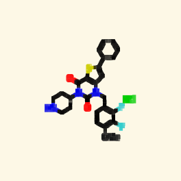 COc1ccc(Cn2c(=O)n(C3CCNCC3)c(=O)c3sc(-c4ccccc4)cc32)c(F)c1F.Cl